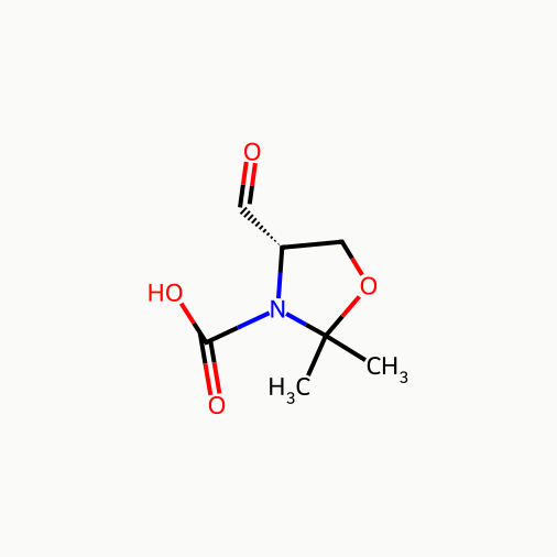 CC1(C)OC[C@@H](C=O)N1C(=O)O